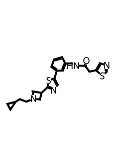 O=C(Cc1cncs1)NCc1cccc(-c2cnc(C3CN(CCC4CC4)C3)s2)c1